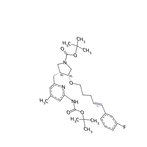 Cc1cc(C[C@@H]2CN(C(=O)OC(C)(C)C)C[C@@H]2OCCC/C=C/c2cccc(F)c2)nc(NC(=O)OC(C)(C)C)c1